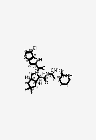 N#C[C@@H](C[C@H]1CCCNC1=O)NC(=O)[C@H]1[C@H]2CC(F)(F)C[C@H]2CN1C(=O)c1cc2scc(Cl)c2[nH]1